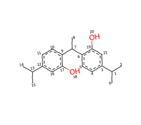 CC(C)c1ccc(C(C)c2ccc(C(C)C)cc2O)c(O)c1